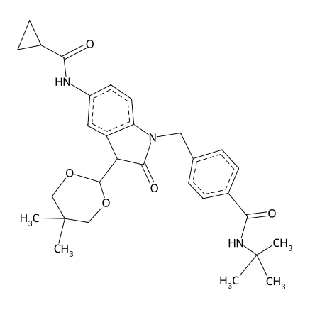 CC1(C)COC(C2C(=O)N(Cc3ccc(C(=O)NC(C)(C)C)cc3)c3ccc(NC(=O)C4CC4)cc32)OC1